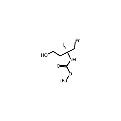 CC(C)C[C@](I)(CCO)NC(=O)OC(C)(C)C